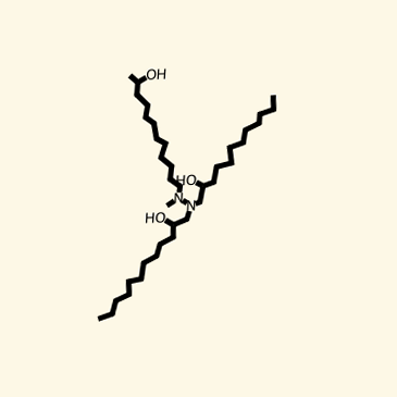 CCCCCCCCCCC(O)CN(CC(O)CCCCCCCCCC)N(C)CCCCCCCCCCC(C)O